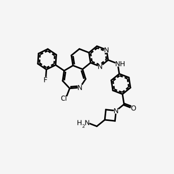 NCC1CN(C(=O)c2ccc(Nc3ncc4c(n3)C3=CN=C(Cl)C=C(c5ccccc5F)C3=CC4)cc2)C1